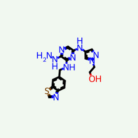 NNc1ncc(Nc2cnn(CCO)c2)nc1NCc1ccc2ncsc2c1